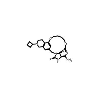 Nc1nc2nc3c1[nH]c(=O)n3Cc1cc3c(c(c1)OCCCCO2)CCN(C1CCC1)C3